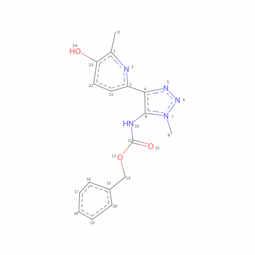 Cc1nc(-c2nnn(C)c2NC(=O)OCc2ccccc2)ccc1O